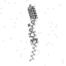 CCCCCCCCc1cnc(-c2ccc(OCC(F)COCC(F)(F)C(F)(F)C(F)(F)C(F)(F)C(F)(F)F)cc2)nc1